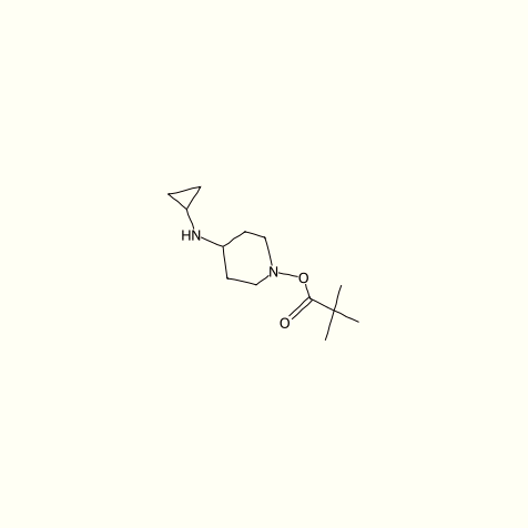 CC(C)(C)C(=O)ON1CCC(NC2CC2)CC1